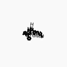 COc1cc(-c2c[nH]c3ncnc(N[C@@H](C)C4=NN5CC=C(C)C5=CN4c4ccccc4)c23)cc(CN2CCC(N(C)C)CC2)n1